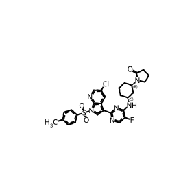 Cc1ccc(S(=O)(=O)n2cc(-c3ncc(F)c(N[C@H]4CCC[C@@H](N5CCCC5=O)C4)n3)c3cc(Cl)cnc32)cc1